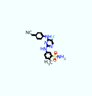 Cc1ccc(Nc2ncc(F)c(NC3=CCC(=CC#N)C=C3)n2)cc1S(N)(=O)=O